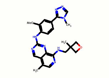 COc1cc(-c2nncn2C)ccc1Nc1ncc2c(C)cnc(NCC3(C)COC3)c2n1